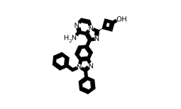 Nc1nccn2c([C@H]3C=C(O)C3)nc(-c3ccc4c(c3)nc(-c3ccccc3)n4Cc3ccccc3)c12